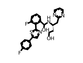 OCC[C@@H](Cc1ncccn1)NC(O)c1cccc(F)c1-c1ncc(-c2ccc(F)cc2)s1